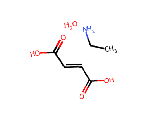 CCN.O.O=C(O)C=CC(=O)O